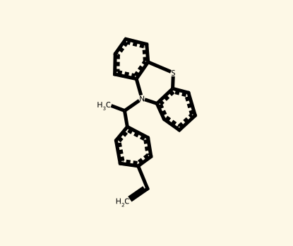 C=Cc1ccc(C(C)N2c3ccccc3Sc3ccccc32)cc1